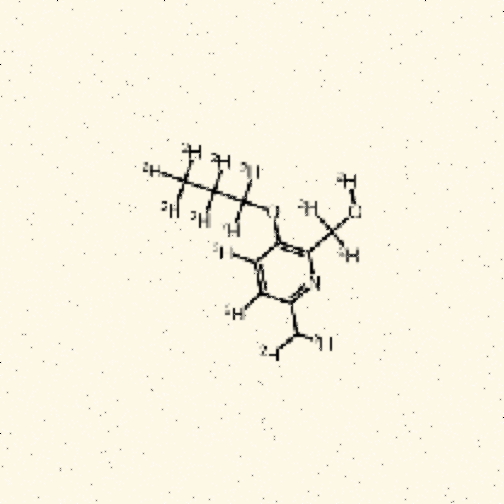 [2H]OC([2H])([2H])c1nc(C([2H])[2H])c([2H])c([2H])c1OC([2H])([2H])C([2H])([2H])C([2H])([2H])[2H]